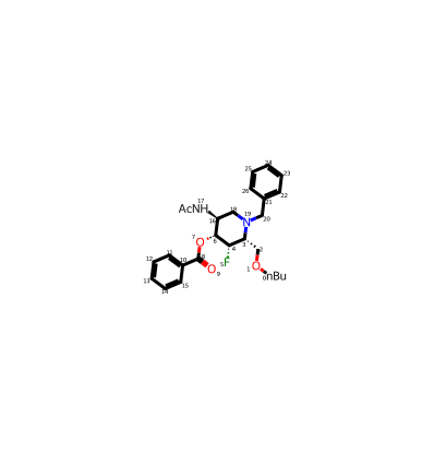 CCCCOC[C@@H]1[C@H](F)[C@H](OC(=O)c2ccccc2)[C@@H](NC(C)=O)CN1Cc1ccccc1